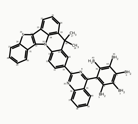 Bc1c(B)c(B)c(-c2nc(-c3ccc4c(c3)C(C)(C)c3cccc5c6sc7ccccc7c6n-4c35)nc3ccccc23)c(B)c1B